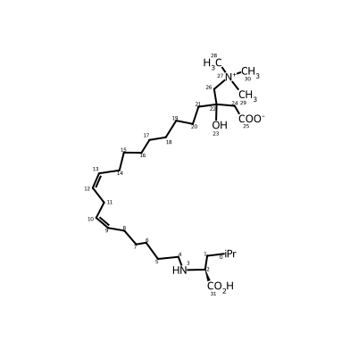 CC(C)C[C@H](NCCCCC/C=C\C/C=C\CCCCCCCCC(O)(CC(=O)[O-])C[N+](C)(C)C)C(=O)O